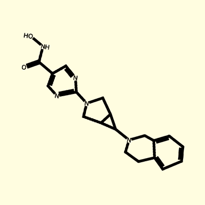 O=C(NO)c1cnc(N2CC3C(C2)C3N2CCc3ccccc3C2)nc1